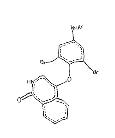 CC(=O)Nc1cc(Br)c(Oc2c[nH]c(=O)c3ccccc23)c(Br)c1